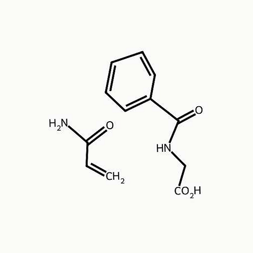 C=CC(N)=O.O=C(O)CNC(=O)c1ccccc1